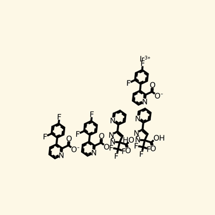 O=C(O)C1(C(F)(F)F)C=C(c2ccccn2)N=N1.O=C(O)C1(C(F)(F)F)C=C(c2ccccn2)N=N1.O=C([O-])c1ncccc1-c1ccc(F)cc1F.O=C([O-])c1ncccc1-c1ccc(F)cc1F.O=C([O-])c1ncccc1-c1ccc(F)cc1F.[Ir+3]